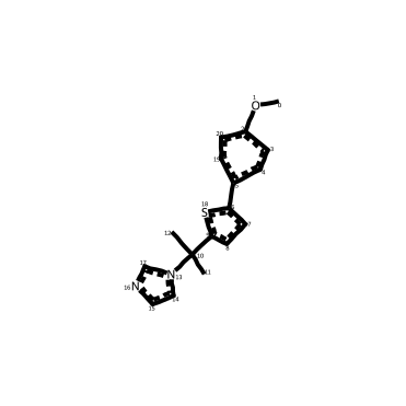 COc1ccc(-c2ccc(C(C)(C)n3ccnc3)s2)cc1